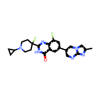 Cc1cn2cc(-c3cc(F)c4nc(C5(F)CCN(C6CC6)CC5)[nH]c(=O)c4c3)cnc2n1